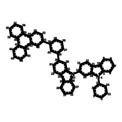 c1ccc(-n2c3ccccc3c3ccc(-n4c5ccccc5c5ccc(-c6cccc(-c7ccc8c9ccccc9c9ccccc9c8c7)c6)cc54)cc32)cc1